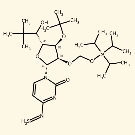 CC(C)[Si](OCO[C@@H]1[C@H](OC(C)(C)C)[C@@H](C(O)C(C)(C)C)O[C@H]1n1ccc(N=[SiH2])nc1=O)(C(C)C)C(C)C